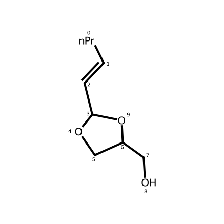 CCCC=CC1OCC(CO)O1